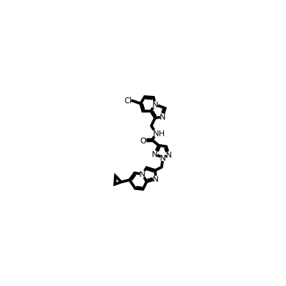 O=C(NCc1ncn2ccc(Cl)cc12)c1cnn(Cc2cn3cc(C4CC4)ccc3n2)n1